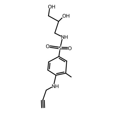 C#CCNc1ccc(S(=O)(=O)NCC(O)CO)cc1C